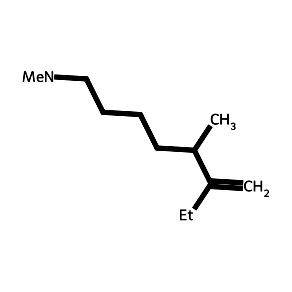 C=C(CC)C(C)CCCCNC